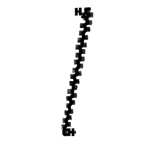 [CH]=CCCCCCCCCCCCCCCCCCCCCCCCCCCCCCCCC